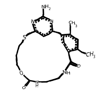 Cc1cc(C)c2cc1C(=O)NCCNC(=O)OCCCSc1cc-2nc(N)n1